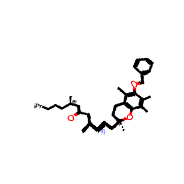 Cc1c(C)c2c(c(C)c1OCc1ccccc1)CC[C@](C)(C/C=C/C(C)CC(=O)C[C@H](C)CCCC(C)C)O2